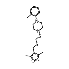 Cc1ccccc1N1CCN(SCSCc2c(C)noc2C)CC1